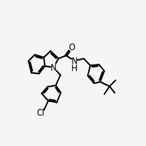 CC(C)(C)c1ccc(CNC(=O)c2cc3ccccc3n2Cc2ccc(Cl)cc2)cc1